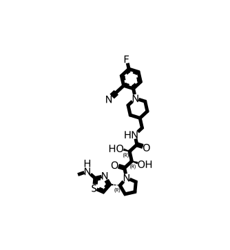 CNc1nc([C@H]2CCCN2C(=O)[C@H](O)[C@@H](O)C(=O)NCC2CCN(c3ccc(F)cc3C#N)CC2)cs1